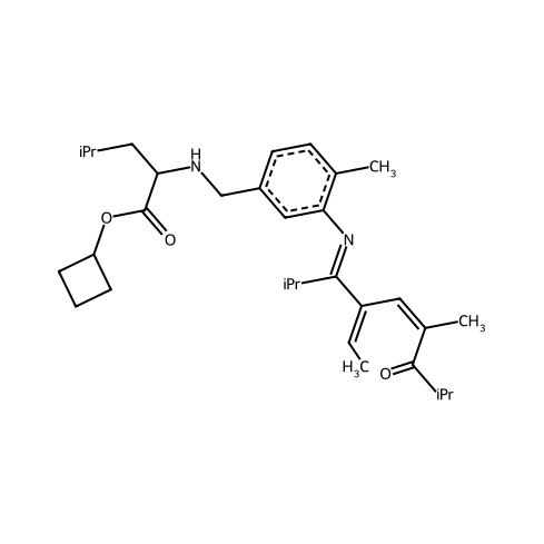 C/C=C(\C=C(\C)C(=O)C(C)C)C(=N/c1cc(CNC(CC(C)C)C(=O)OC2CCC2)ccc1C)/C(C)C